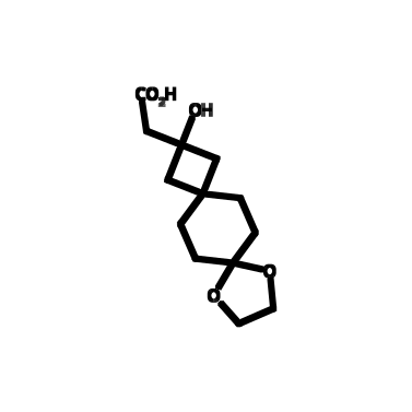 O=C(O)CC1(O)CC2(CCC3(CC2)OCCO3)C1